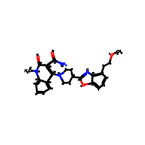 COCCc1cccc2oc(C3CCN(c4c(C(N)=O)c(=O)n(C)c5ccccc45)CC3)nc12